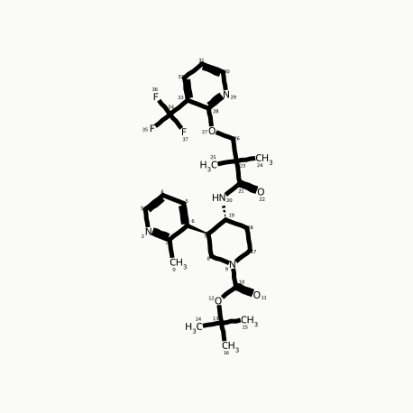 Cc1ncccc1[C@@H]1CN(C(=O)OC(C)(C)C)CC[C@H]1NC(=O)C(C)(C)COc1ncccc1C(F)(F)F